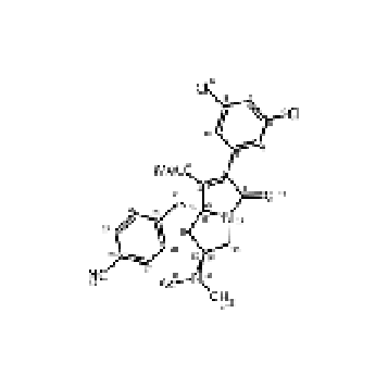 COC1=C(c2cc(Cl)cc(Cl)c2)C(=O)N2C[C@@H](N(C)C(C)=O)C[C@@]12Cc1ccc(C#N)cc1